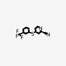 N#Cc1cc(Sc2cccc(C(F)(F)F)c2)ccn1